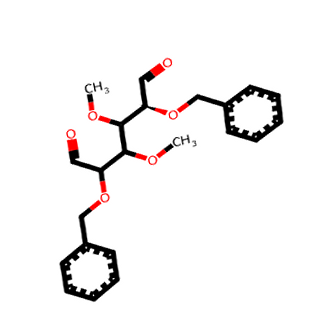 COC(C(C=O)OCc1ccccc1)C(OC)[C@@H](C=O)OCc1ccccc1